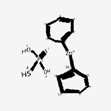 OP(O)(=S)S.c1cc[c]([Zn][c]2ccccc2)cc1